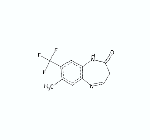 Cc1cc2c(cc1C(F)(F)F)NC(=O)CC=N2